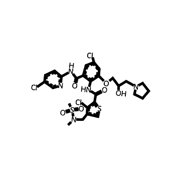 CN(Cc1csc(C(=O)Nc2c(OCC(O)CN3CCCC3)cc(Cl)cc2C(=O)Nc2ccc(Cl)cn2)c1Cl)S(C)(=O)=O